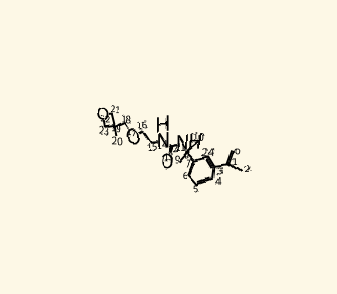 C=C(C)c1cccc(C(C)(C)NC(=O)NCCOCC2(C)COC2)c1